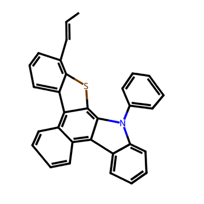 C/C=C/c1cccc2c1sc1c2c2ccccc2c2c3ccccc3n(-c3ccccc3)c12